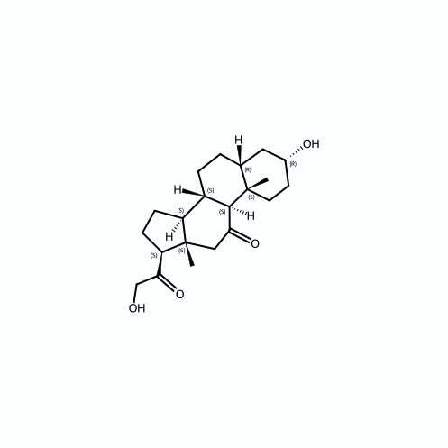 C[C@]12CC[C@@H](O)C[C@H]1CC[C@H]1[C@@H]3CC[C@H](C(=O)CO)[C@@]3(C)CC(=O)[C@@H]12